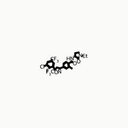 CCN1CC[C@@H](NC(=O)c2ccc(C3=NO[C@](c4cc(C(F)(F)F)cc(Cl)c4F)(C(F)(F)F)C3)cc2C)C1=O